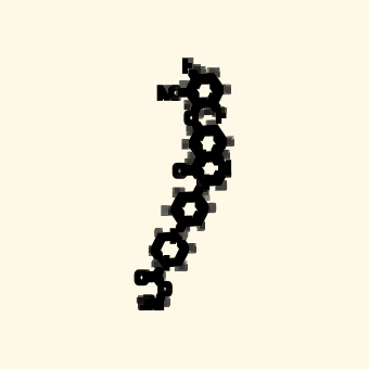 CC(C)(C)OC(=O)N1CCN(c2ccc(-n3cnc4ccc(Oc5c(F)ccc(F)c5C#N)cc4c3=O)cc2)CC1